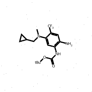 CN(CC1CC1)c1cc(NC(=O)OC(C)(C)C)c(N)cc1C(F)(F)F